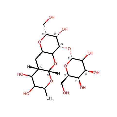 CC1O[C@H]2OC3C(C[C@H]2C(O)C1O)O[C@H](CO)[C@H](O)[C@@H]3O[C@H]1O[C@H](CO)[C@H](O)[C@H](O)C1O